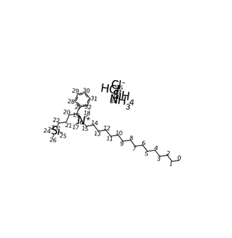 CCCCCCCCCCCCCCCC[N+](C)(C)C(CCC[Si](C)(C)C)c1ccccc1.Cl.N.[Cl-].[SiH4]